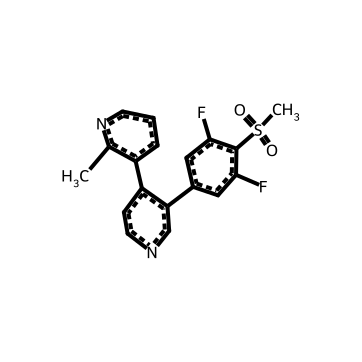 Cc1ncccc1-c1ccncc1-c1cc(F)c(S(C)(=O)=O)c(F)c1